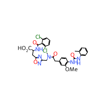 COc1cc(CC(=O)N(C)Cc2noc(CC(NC(=O)c3c(Cl)cccc3Cl)C(=O)O)n2)ccc1NC(=O)Nc1ccccc1C